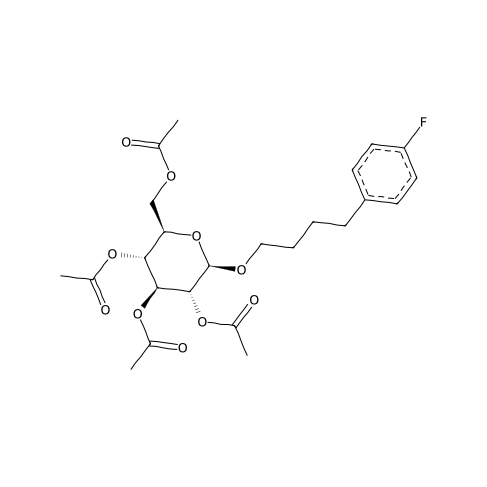 CC(=O)OC[C@H]1O[C@@H](OCCCCc2ccc(F)cc2)[C@H](OC(C)=O)[C@@H](OC(C)=O)[C@@H]1OC(C)=O